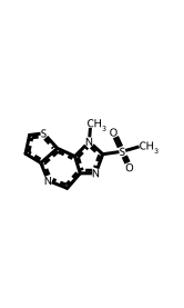 Cn1c(S(C)(=O)=O)nc2cnc3ccsc3c21